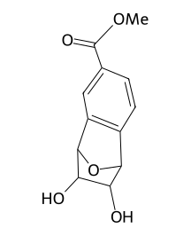 COC(=O)c1ccc2c(c1)C1OC2C(O)C1O